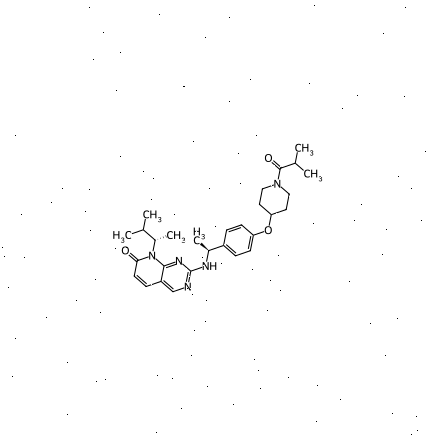 CC(C)C(=O)N1CCC(Oc2ccc([C@H](C)Nc3ncc4ccc(=O)n([C@@H](C)C(C)C)c4n3)cc2)CC1